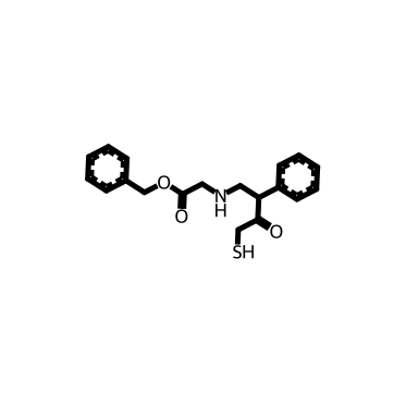 O=C(CNCC(C(=O)CS)c1ccccc1)OCc1ccccc1